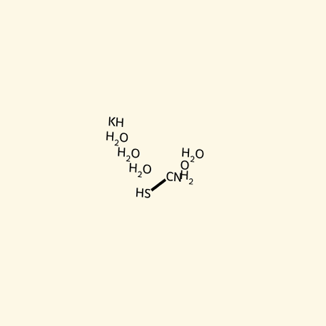 N#CS.O.O.O.O.O.[KH]